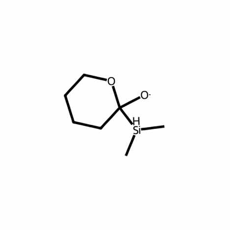 C[SiH](C)C1([O])CCCCO1